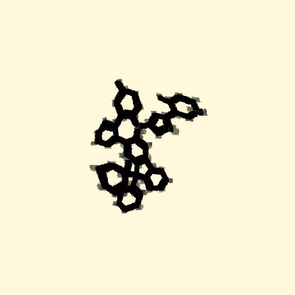 CC1C=CC2=C(C1)c1ccccc1-c1cc3c(cc1N2C1=CC(C2CNC=CC2C)=[N+]=C1)-c1ccccc1C3(C1=CC=CCC1)C1(C)C=CC=CC1